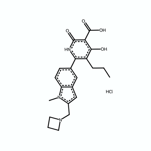 CCCc1c(-c2ccc3c(c2)cc(CN2CCC2)n3C)[nH]c(=O)c(C(=O)O)c1O.Cl